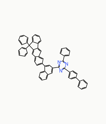 c1ccc(-c2ccc(-c3nc(-c4ccccc4)nc(-c4cc(-c5ccc6cc7c(cc6c5)-c5ccccc5C7(c5ccccc5)c5ccccc5)c5ccccc5c4)n3)cc2)cc1